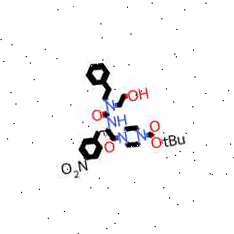 CC(C)(C)OC(=O)N1CCN(C(=O)[C@H](Cc2ccc([N+](=O)[O-])cc2)NC(=O)N(CCO)CCc2ccccc2)CC1